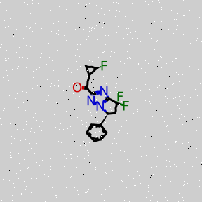 O=C(c1nc2n(n1)[C@H](c1ccccc1)CC2(F)F)C1C[C@@H]1F